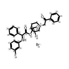 O=C(C[N+]12CCC(CC1)[C@@H](OC(=O)C(Nc1cccc(F)c1)c1ccccc1)C2)c1ccccc1.[Br-]